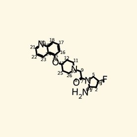 N[C@@H]1C[C@H](F)CN1C(=O)CN1CCC(Oc2cccc3ncccc23)CC1